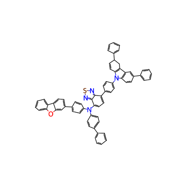 C1=CC(c2ccccc2)Cc2c1n(-c1ccc(-c3ccc(N(c4ccc(-c5ccccc5)cc4)c4ccc(-c5ccc6c(c5)oc5ccccc56)cc4)c4nsnc34)cc1)c1ccc(-c3ccccc3)cc21